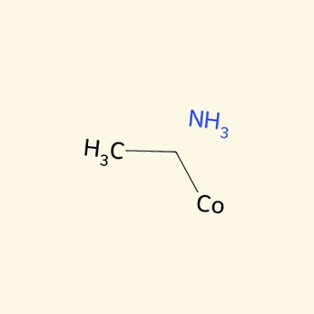 C[CH2][Co].N